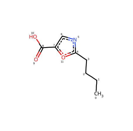 CCCCc1ncc(C(=O)O)o1